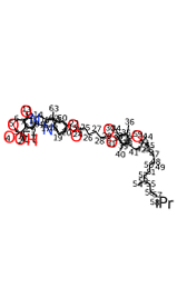 CC[C@@]1(O)C(=O)OCc2c1cc1n(c2=O)Cc2c-1nc1ccc(OC(=O)CCCCC(=O)Oc3c(C)c(C)c4c(c3C)CCC(C)(CCC[C@H](C)CCC[C@H](C)CCCC(C)C)O4)cc1c2C